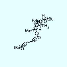 COc1cc2nc(C)nc(N[C@H](C)c3cc(NC(=O)OC(C)(C)C)cc(C(F)(F)F)c3)c2cc1C1CCC(C(=O)N2CCN(CCCCC3CCN(C(=O)OC(C)(C)C)CC3)CC2)CC1